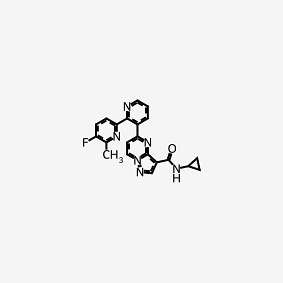 Cc1nc(-c2ncccc2-c2ccn3ncc(C(=O)NC4CC4)c3n2)ccc1F